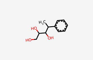 CC(c1ccccc1)C(O)C(O)CO